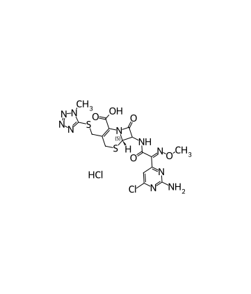 CON=C(C(=O)NC1C(=O)N2C(C(=O)O)=C(CSc3nnnn3C)CS[C@@H]12)c1cc(Cl)nc(N)n1.Cl